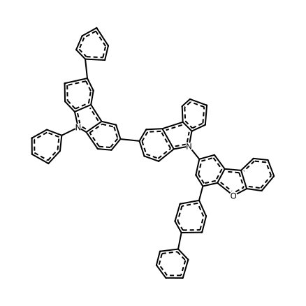 c1ccc(-c2ccc(-c3cc(-n4c5ccccc5c5cc(-c6ccc7c(c6)c6cc(-c8ccccc8)ccc6n7-c6ccccc6)ccc54)cc4c3oc3ccccc34)cc2)cc1